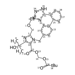 CCOCc1nc(C(C)(C)O)c(C(=O)OCOC(=O)C(C)(C)C)n1Cc1ccc(-c2ccccc2-c2nnn[nH]2)cc1